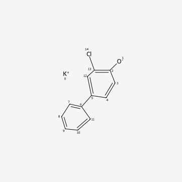 [K+].[O-]c1ccc(-c2ccccc2)cc1Cl